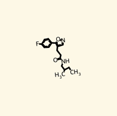 CCC(C)CNC(=O)CCc1cnoc1-c1ccc(F)cc1